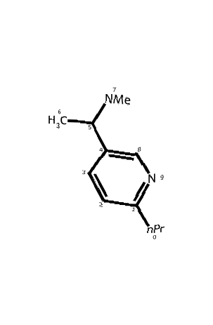 CCCc1ccc(C(C)NC)cn1